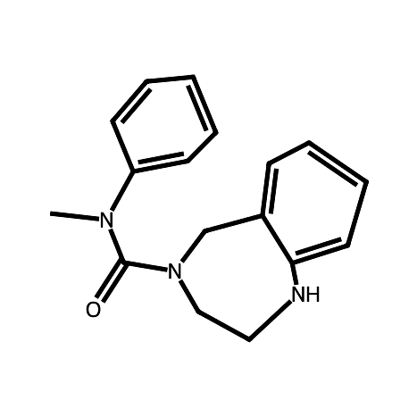 CN(C(=O)N1CCNc2ccccc2C1)c1ccccc1